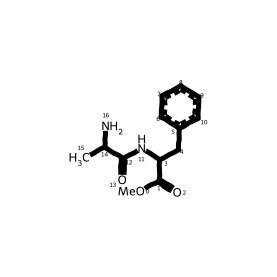 COC(=O)C(Cc1ccccc1)NC(=O)C(C)N